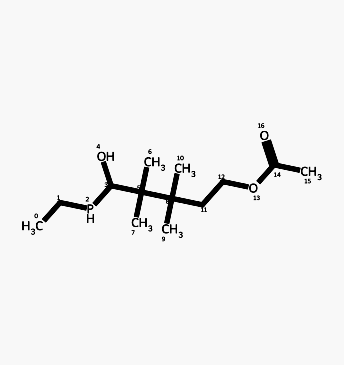 CCPC(O)C(C)(C)C(C)(C)CCOC(C)=O